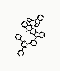 c1ccc(-c2cc(-c3ccccc3)nc(-c3cccc(-n4c5ccccc5c5cc6c(cc54)Sc4ccccc4C64c5ccccc5-n5c6ccccc6c6cccc4c65)c3)n2)cc1